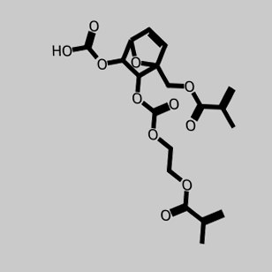 C=C(C)C(=O)OCCOC(=O)OC1C(OC(=O)O)C2C=CC1(COC(=O)C(=C)C)O2